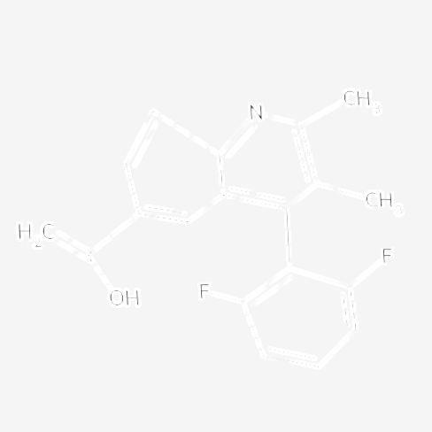 C=C(O)c1ccc2nc(C)c(C)c(-c3c(F)cccc3F)c2c1